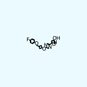 Oc1cc(-c2cnc(OC3CC(COc4ccc(F)cc4)C3)cn2)on1